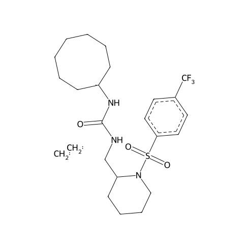 O=C(NCC1CCCCN1S(=O)(=O)c1ccc(C(F)(F)F)cc1)N[C]1CCCCCCC1.[CH2].[CH2]